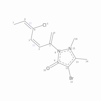 C=C(/C=C\C(Cl)=C/C)n1c(=O)c(Br)c(C)n1C